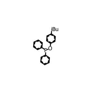 CCC(C)c1ccc(OP(c2ccccc2)c2ccccc2)cc1